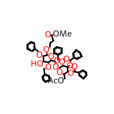 COC(=O)CCCOC1OC(COC2OC(COC(C)=O)C(OC(=O)c3ccccc3)C(OC(=O)c3ccccc3)C2OC(=O)c2ccccc2)C(OCc2ccccc2)C(O)C1OCc1ccccc1